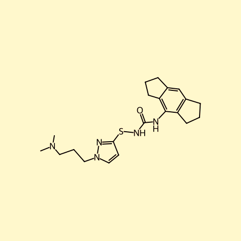 CN(C)CCCn1ccc(SNC(=O)Nc2c3c(cc4c2CCC4)CCC3)n1